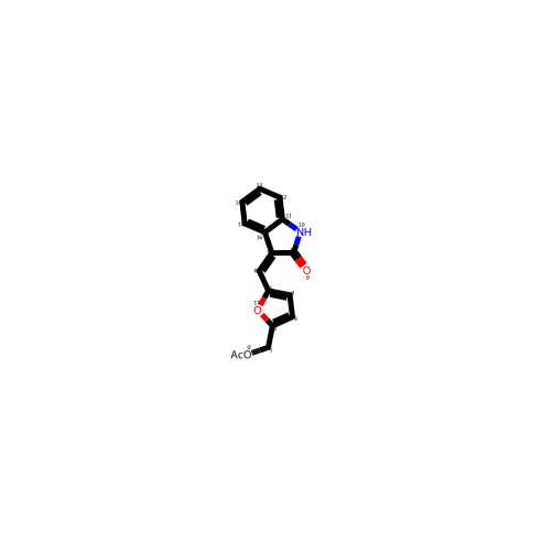 CC(=O)OCc1ccc(C=C2C(=O)Nc3ccccc32)o1